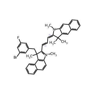 CN1/C(=C/C=C/C2=[N+](C)c3ccc4ccccc4c3C2(C)Cc2cc(F)cc(Br)c2)C(C)(C)c2cc3ccccc3cc21